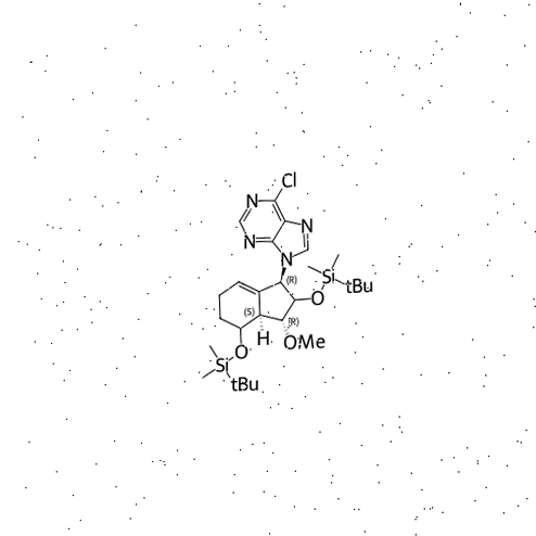 CO[C@H]1C(O[Si](C)(C)C(C)(C)C)[C@H](n2cnc3c(Cl)ncnc32)C2=CCCC(O[Si](C)(C)C(C)(C)C)[C@@H]21